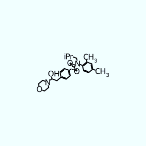 Cc1ccc(N(CC(C)C)S(=O)(=O)c2ccc(CC(O)N3CCOCC3)cc2)c(C)c1